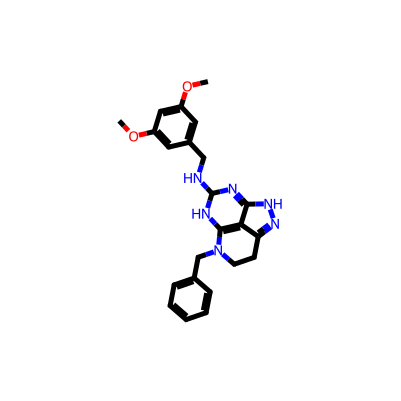 COc1cc(CNC2N=c3[nH]nc4c3=C(N2)N(Cc2ccccc2)CC4)cc(OC)c1